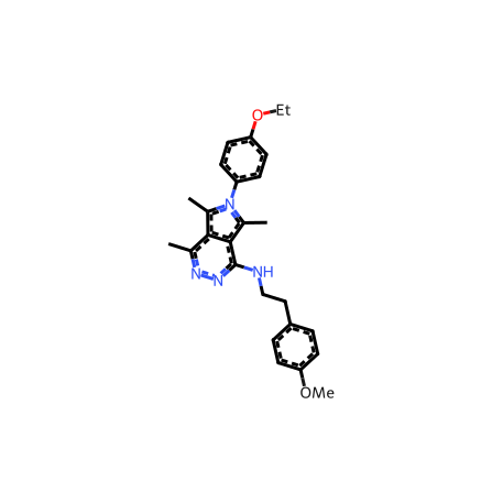 CCOc1ccc(-n2c(C)c3c(C)nnc(NCCc4ccc(OC)cc4)c3c2C)cc1